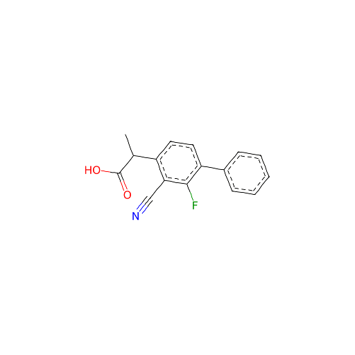 CC(C(=O)O)c1ccc(-c2ccccc2)c(F)c1C#N